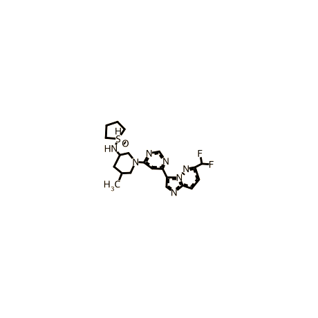 CC1CC(N[SH]2(=O)CCCC2)CN(c2cc(-c3cnc4ccc(C(F)F)nn34)ncn2)C1